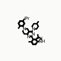 Cc1ccc(C(C)C)cc1N1CCc2nc(-c3c(C)ccc4[nH]nc(C)c34)nc(N3CCC(C)CC3)c2C1